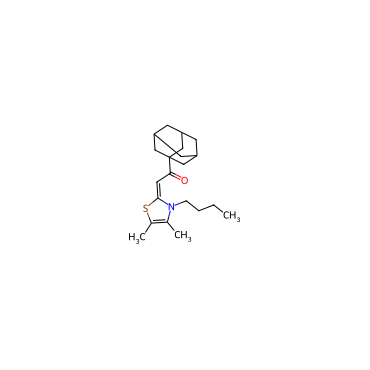 CCCCN1C(=CC(=O)C23CC4CC(CC(C4)C2)C3)SC(C)=C1C